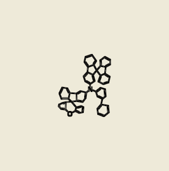 c1ccc(-c2cccc(N(c3ccc4c(c3)-c3ccccc3C43c4ccccc4Oc4ccccc43)c3ccc4c(c3)C3(c5ccccc5-c5ccccc53)c3ccccc3-4)c2)cc1